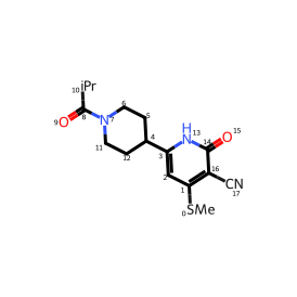 CSc1cc(C2CCN(C(=O)C(C)C)CC2)[nH]c(=O)c1C#N